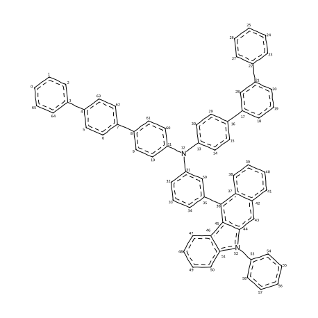 c1ccc(-c2ccc(-c3ccc(N(c4ccc(-c5cccc(-c6ccccc6)c5)cc4)c4cccc(-c5c6ccccc6cc6c5c5ccccc5n6-c5ccccc5)c4)cc3)cc2)cc1